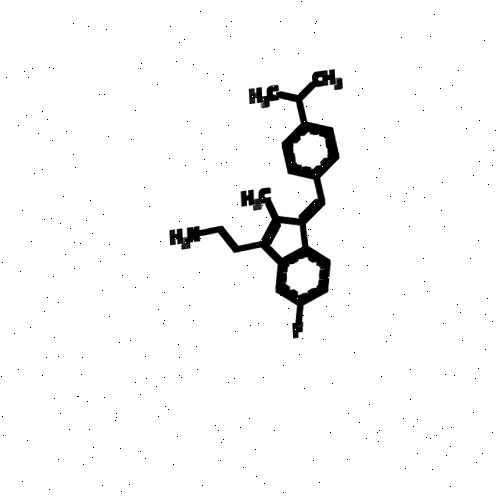 CC1=C(CCN)c2cc(F)ccc2C1=Cc1ccc(C(C)C)cc1